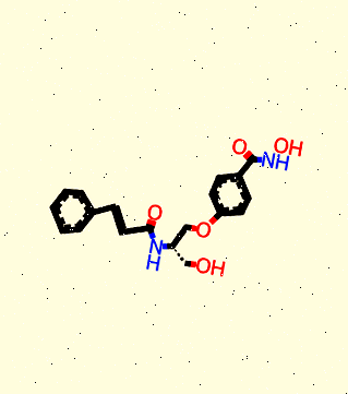 O=C(/C=C/c1ccccc1)N[C@@H](CO)COc1ccc(C(=O)NO)cc1